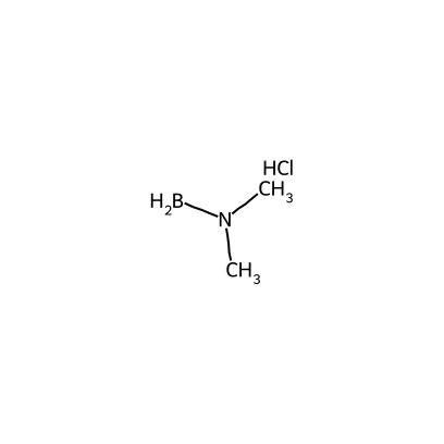 BN(C)C.Cl